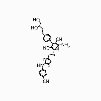 N#Cc1ccc(Nc2nc(CSc3nc(N)c(C#N)c(-c4ccc(CCC(O)CO)cc4)c3C#N)cs2)cc1